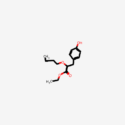 CCCCOC(Cc1ccc(O)cc1)C(=O)OCC